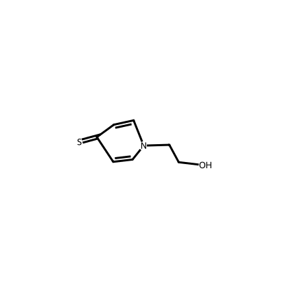 OCCn1ccc(=S)cc1